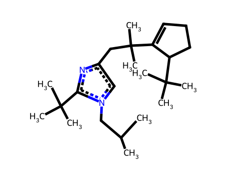 CC(C)Cn1cc(CC(C)(C)C2=CCCC2C(C)(C)C)nc1C(C)(C)C